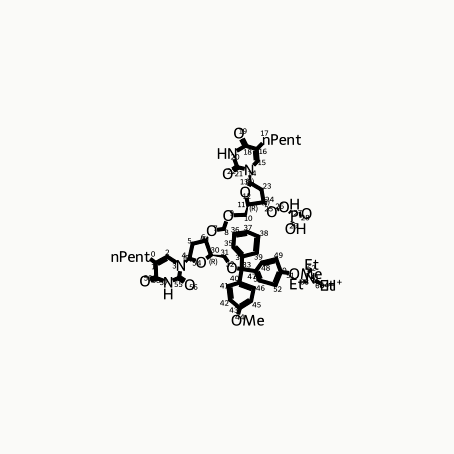 CCCCCc1cn([C@H]2C[C@H](OCOC[C@H]3O[C@@H](n4cc(CCCCC)c(=O)[nH]c4=O)C[C@@H]3OO[PH](=O)O)[C@@H](COC(c3ccccc3)(c3ccc(OC)cc3)c3ccc(OC)cc3)O2)c(=O)[nH]c1=O.CCN(CC)CC.[H+]